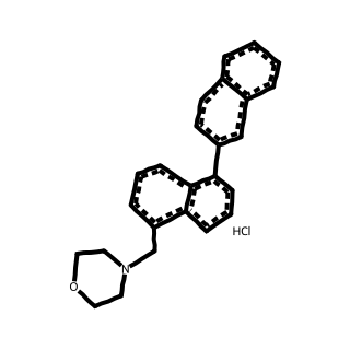 Cl.c1ccc2cc(-c3cccc4c(CN5CCOCC5)cccc34)ccc2c1